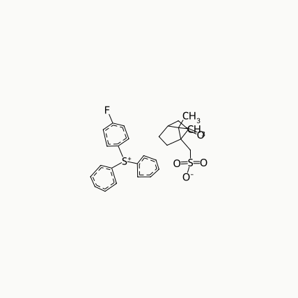 CC1(C)C2CCC1(CS(=O)(=O)[O-])C(=O)C2.Fc1ccc([S+](c2ccccc2)c2ccccc2)cc1